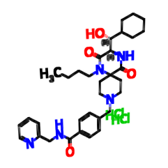 CCCCN1C(=O)[C@@H]([C@H](O)C2CCCCC2)NC(=O)C12CCN(Cc1ccc(C(=O)NCc3ccccn3)cc1)CC2.Cl.Cl